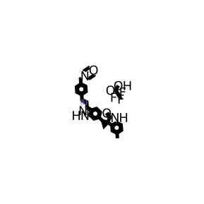 Cc1ccc2c(c1)C1(CC1c1ccc3c(/C=C/c4ccc(CN5CCOCC5)cc4)n[nH]c3c1)C(=O)N2.O=C(O)C(F)(F)F